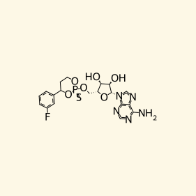 Nc1ncnc2c1ncn2[C@@H]1O[C@H](COP2(=S)OCCC(c3cccc(F)c3)O2)[C@@H](O)[C@H]1O